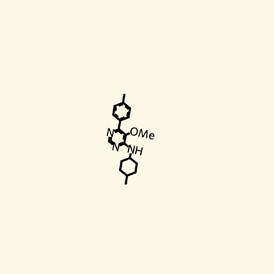 COc1c(NC2CCC(C)CC2)ncnc1-c1ccc(C)cc1